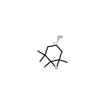 CC1(C)C[C@H](O)CC2(C)OC12C